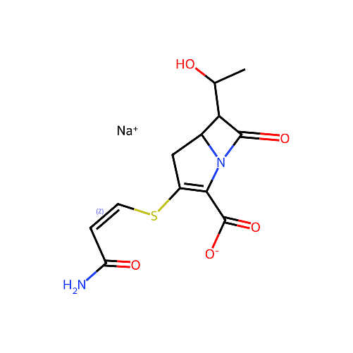 CC(O)C1C(=O)N2C(C(=O)[O-])=C(S/C=C\C(N)=O)CC12.[Na+]